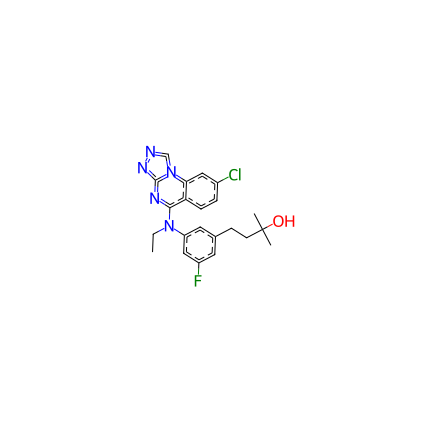 CCN(c1cc(F)cc(CCC(C)(C)O)c1)c1nc2nncn2c2cc(Cl)ccc12